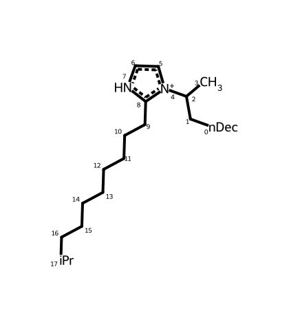 CCCCCCCCCCCC(C)[n+]1cc[nH]c1CCCCCCCCC(C)C